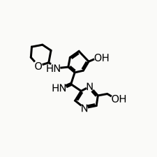 N=C(c1cncc(CO)n1)c1cc(O)ccc1NC1CCCCO1